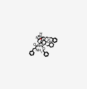 N[C@@H](Cc1ccccc1)C(=O)N[C@@H](Cc1c[nH]cn1)C(=O)N(COCc1ccccc1)[C@@H](CC1CCCCC1)C(O)c1nccn1COCc1ccccc1